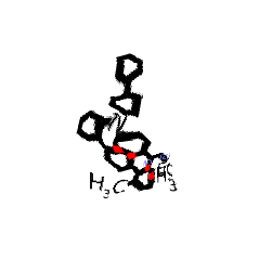 C/C=C(\C=C/CC)c1ccc(N(C2=C(C3=CC=C(c4ccccc4C)CC3)CCC=C2)c2ccc(-c3ccccc3)cc2)cc1